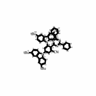 CC(C)(C)c1ccc2c(c1)c1cc(C(C)(C)C)ccc1n2-c1cc(C#N)c(-c2nc(-c3ccccc3)nc(-c3ccccc3)n2)c(-n2c3ccc(C(C)(C)C)cc3c3cc(C(C)(C)C)ccc32)c1